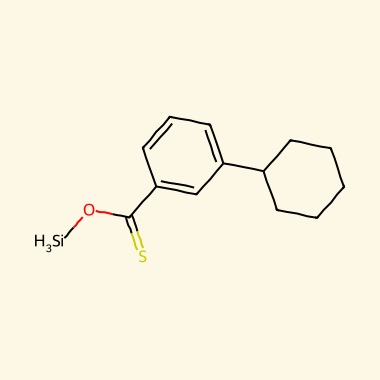 [SiH3]OC(=S)c1cccc(C2CCCCC2)c1